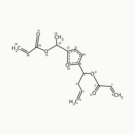 C=CCC(OC(=O)C=C)c1ccc(C(C)OC(=O)C=C)o1